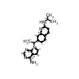 [CH2]C(c1ccc2ccc(NC(C)C)nc2c1)n1ccc2c(N)ncnc21